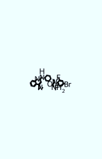 CN(C)c1cc(N[C@H]2CC[C@@H](CN(C(N)=O)c3c(F)cc(Br)cc3F)CC2)nc2ccccc12